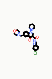 O=C(NCc1ccc(Cl)cc1)c1cn(N2CCCCC2)c2ccc(CN3CCOCC3)cc2c1=O